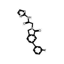 O=C(CN1Cc2ccc(-c3cccc(F)c3)cc2C1=O)Nc1nccs1